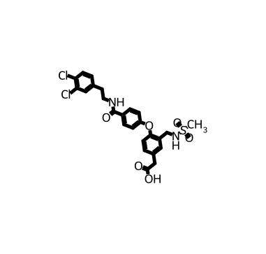 CS(=O)(=O)NCc1cc(CC(=O)O)ccc1Oc1ccc(C(=O)NCCc2ccc(Cl)c(Cl)c2)cc1